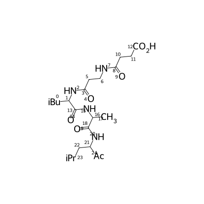 CCC(C)C(NC(=O)CCNC(=O)CCC(=O)O)C(=O)NC(C)C(=O)NC(CC(C)C)C(C)=O